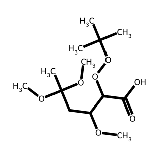 COC(CC(C)(OC)OC)C(OOC(C)(C)C)C(=O)O